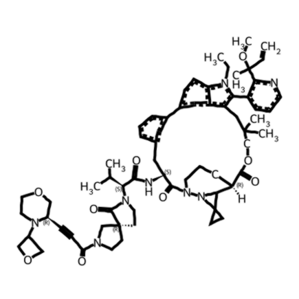 C=CC(C)(OC)c1ncccc1-c1c2c3cc(ccc3n1CC)-c1cccc(c1)C[C@H](NC(=O)[C@H](C(C)C)N1CC[C@@]3(CCN(C(=O)C#C[C@@H]4COCCN4C4COC4)C3)C1=O)C(=O)N1CCC[C@@H](C(=O)OCC(C)(C)C2)C2N1C21CC1